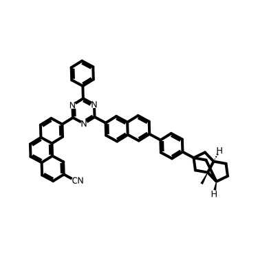 C[C@@]12CC3(c4ccc(-c5ccc6cc(-c7nc(-c8ccccc8)nc(-c8ccc9ccc%10ccc(C#N)cc%10c9c8)n7)ccc6c5)cc4)C[C@H]1CC[C@H]2C3